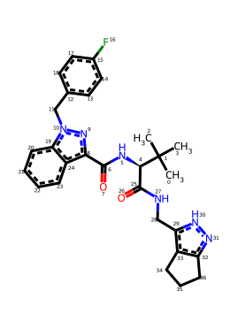 CC(C)(C)[C@H](NC(=O)c1nn(Cc2ccc(F)cc2)c2ccccc12)C(=O)NCc1[nH]nc2c1CCC2